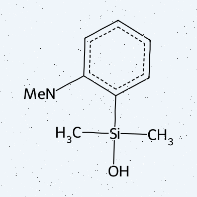 CNc1ccccc1[Si](C)(C)O